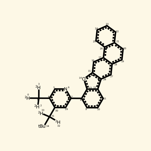 [2H]C([2H])([2H])c1cnc(-c2cccc3c2oc2cc4c(ccc5ccccc54)cc23)cc1C([2H])([2H])C(C)(C)C